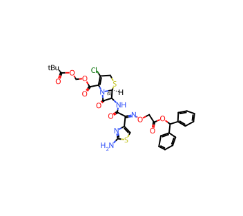 CC(C)(C)C(=O)OCOC(=O)C1=C(Cl)CS[C@H]2C(NC(=O)C(=NOCC(=O)OC(c3ccccc3)c3ccccc3)c3csc(N)n3)C(=O)N12